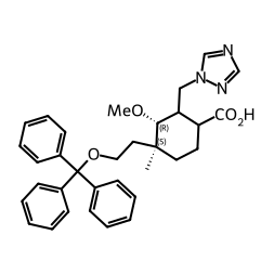 CO[C@@H]1C(Cn2cncn2)C(C(=O)O)CC[C@@]1(C)CCOC(c1ccccc1)(c1ccccc1)c1ccccc1